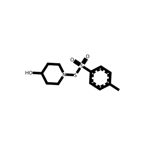 Cc1ccc(S(=O)(=O)SN2CCC(O)CC2)cc1